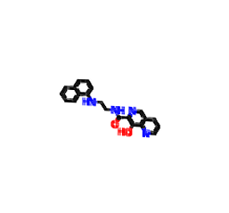 O=C(NCCNc1cccc2ccccc12)c1ncc2cccnc2c1O